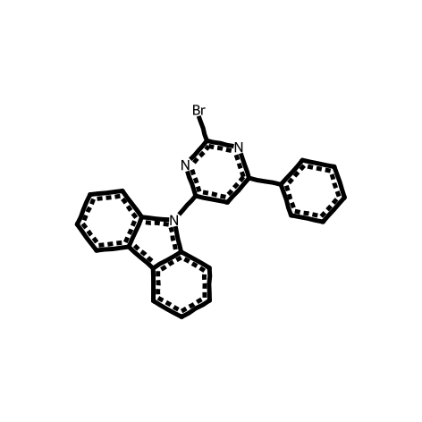 Brc1nc(-c2ccccc2)cc(-n2c3ccccc3c3ccccc32)n1